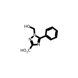 O=C(O)c1nc(-c2ccccc2)n(CO)n1